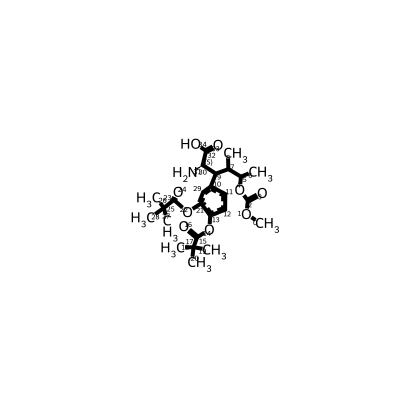 COC(=O)OC(C)C(C)C(c1ccc(OC(=O)C(C)(C)C)c(OC(=O)C(C)(C)C)c1)[C@H](N)C(=O)O